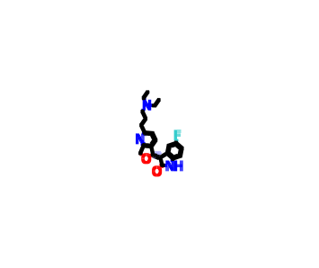 CCN(CC)CCCc1ccc2c(n1)CO/C2=C1\C(=O)Nc2ccc(F)cc21